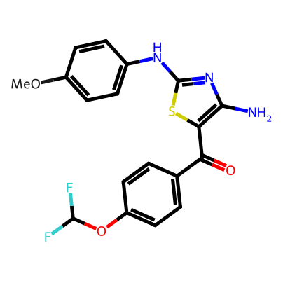 COc1ccc(Nc2nc(N)c(C(=O)c3ccc(OC(F)F)cc3)s2)cc1